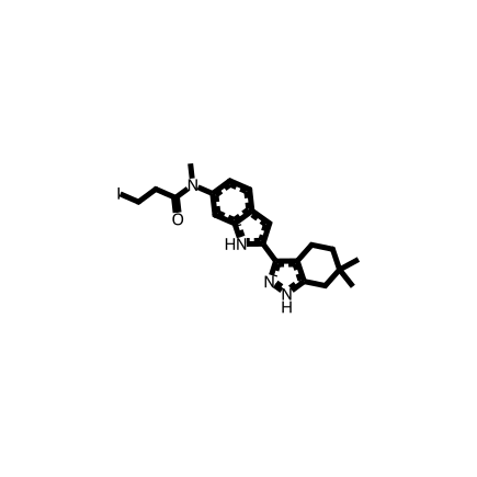 CN(C(=O)CCI)c1ccc2cc(-c3n[nH]c4c3CCC(C)(C)C4)[nH]c2c1